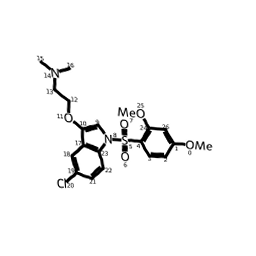 COc1ccc(S(=O)(=O)n2cc(OCCN(C)C)c3cc(Cl)ccc32)c(OC)c1